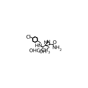 CC(NCc1ccc(Cl)cc1)c1nnc(C(N)=O)s1.O=CO